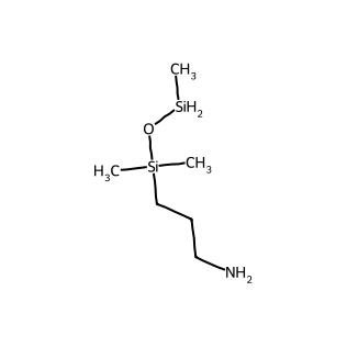 C[SiH2]O[Si](C)(C)CCCN